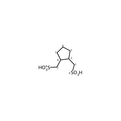 O=S(=O)(O)CC1CCCC1CS(=O)(=O)O